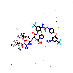 CC(C)(C)OC(=O)N(C(=N)NCCCCC(=O)Nc1cc(C(F)(F)F)cc(NC(=O)Nc2ccc(Oc3cc(N)cc(C(F)(F)F)c3)cc2)c1O[C@@H]1CCN(C(=O)O)C1)C(=O)OC(C)(C)C